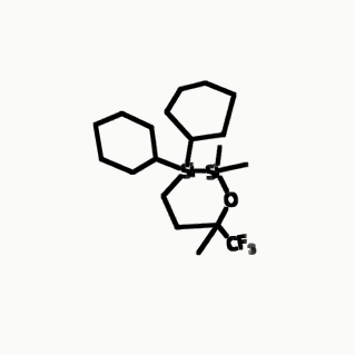 CC1(C(F)(F)F)CC[Si](C2CCCCC2)(C2CCCCC2)[Si](C)(C)O1